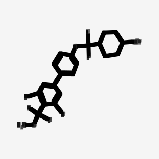 CCCC1CCC(C(F)(F)Oc2ccc(-c3cc(F)c(C(F)(F)OC(F)(F)F)c(F)c3)cc2)CC1